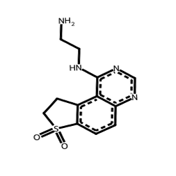 NCCNc1ncnc2ccc3c(c12)CCS3(=O)=O